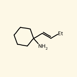 CCC=CC1(N)CCCCC1